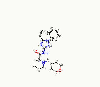 CCc1nc(NC(=O)[C@@H]2CCCCN2CC2CCOCC2)nn1-c1ccccc1